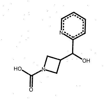 O=C(O)N1CC(C(O)c2ccccn2)C1